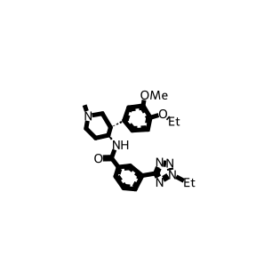 CCOc1ccc([C@H]2CN(C)CC[C@H]2NC(=O)c2cccc(-c3nnn(CC)n3)c2)cc1OC